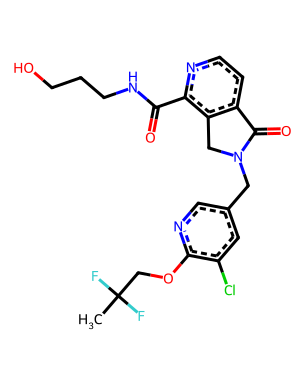 CC(F)(F)COc1ncc(CN2Cc3c(ccnc3C(=O)NCCCO)C2=O)cc1Cl